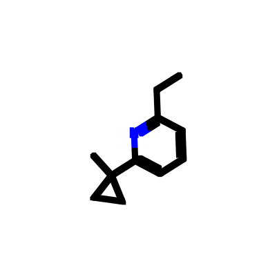 CCc1cccc(C2(C)CC2)n1